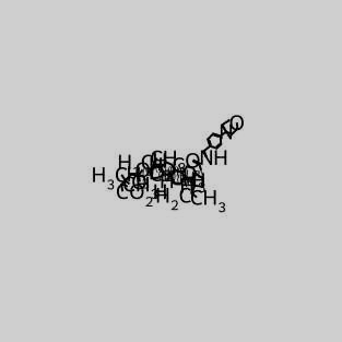 C=C(C)C1CC[C@]2(CC(=O)NCc3ccc(N4CCOCC4)cc3)CC[C@]3(C)[C@H](CC[C@@H]4[C@@]5(C)CC[C@H](OC(=O)CC(C)(C)CC(=O)O)C(C)(C)[C@@H]5CC[C@]43C)[C@@H]12